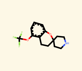 FC(F)(F)Oc1cccc2c1CCC1(CCNCC1)O2